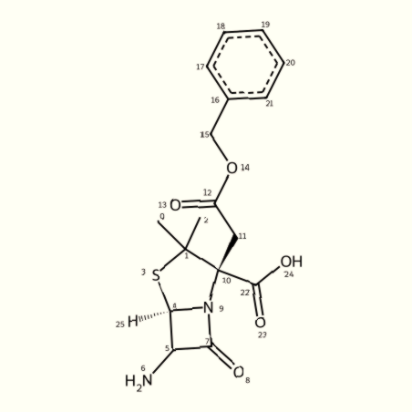 CC1(C)S[C@@H]2C(N)C(=O)N2[C@@]1(CC(=O)OCc1ccccc1)C(=O)O